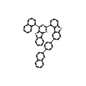 c1ccc2cc(-c3ccc(-c4ccc5oc6cccc(-c7nc(-c8cccc9ccccc89)c8sc9ccccc9c8n7)c6c5c4)cc3)ccc2c1